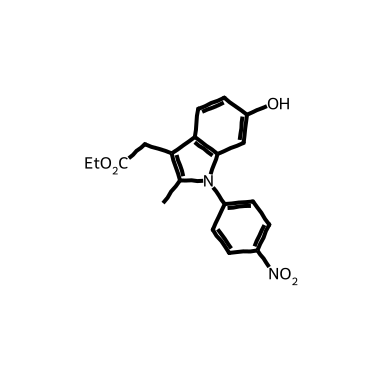 CCOC(=O)Cc1c(C)n(-c2ccc([N+](=O)[O-])cc2)c2cc(O)ccc12